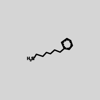 [SiH3]CCCCCCc1ccccc1